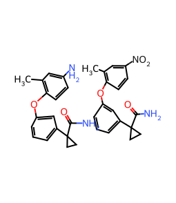 Cc1cc(N)ccc1Oc1cccc(C2(C(N)=O)CC2)c1.Cc1cc([N+](=O)[O-])ccc1Oc1cccc(C2(C(N)=O)CC2)c1